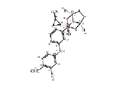 N#C[C@@H]1C[C@H]1C(=O)N1[C@@H]2CC[C@H]1CN(c1ccnc(Nc3cnc(C=O)c(Cl)c3)n1)C2